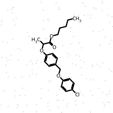 CCCCCOC(=O)C(C)Oc1ccc(COc2ccc(Cl)cc2)cc1